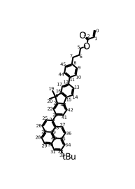 C=CC(=O)OCCCc1ccc(-c2ccc3c(c2)C(C)(C)c2cc(-c4ccc5ccc6cc(C(C)(C)C)cc7ccc4c5c67)ccc2-3)cc1